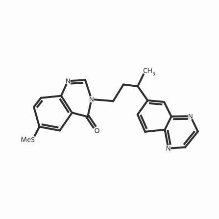 CSc1ccc2ncn(CCC(C)c3ccc4nccnc4c3)c(=O)c2c1